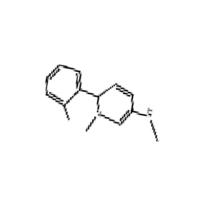 CPC1=CN(C)C(c2ccccc2C)C=C1